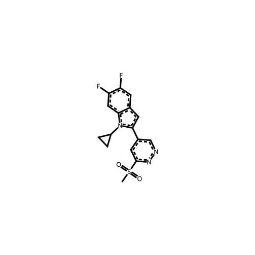 CS(=O)(=O)c1cc(-c2cc3cc(F)c(F)cc3n2C2CC2)cnn1